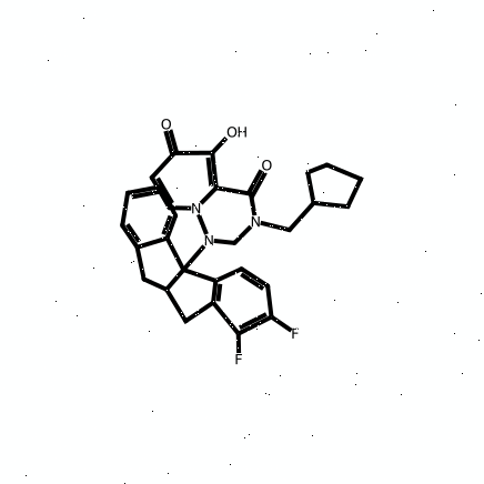 O=C1c2c(O)c(=O)ccn2N(C23c4ccccc4CC2Cc2c3ccc(F)c2F)CN1CC1CCCC1